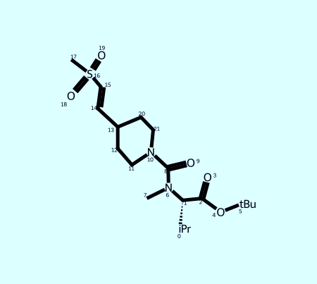 CC(C)[C@@H](C(=O)OC(C)(C)C)N(C)C(=O)N1CCC(/C=C/S(C)(=O)=O)CC1